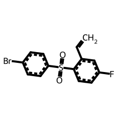 C=Cc1cc(F)ccc1S(=O)(=O)c1ccc(Br)cc1